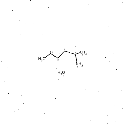 CCCCC(C)N.O